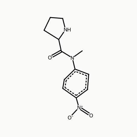 CN(C(=O)C1CCCN1)c1ccc([N+](=O)[O-])cc1